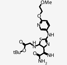 COCCOc1ccc(NC2=NC(C(=N)C(N)=O)C(NCC(=O)OC(C)(C)C)S2)cn1